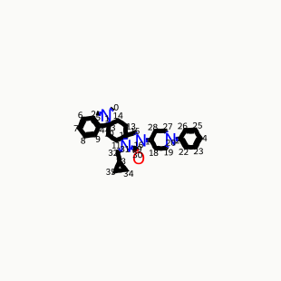 CN(C)C1(c2ccccc2)CCC2(CC1)CN(C1CCN(c3ccccc3)CC1)C(=O)N2CC1CC1